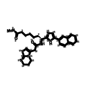 CNC(=O)CCCCC[C@@H](NC(=O)CC1=CSC2=NCCCN12)c1ncc(-c2ccc3ccccc3c2)[nH]1